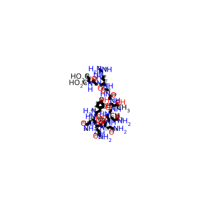 C[C@H](NC(=O)[C@H](CCC(N)=O)NC(=O)[C@H](CCC(N)=O)NC(=O)[C@H](CCC(N)=O)NC(=O)[C@H](CCC(N)=O)NC(=O)[C@@H](N)Cc1ccc(O)cc1)C(=O)N[C@H](C(=O)NCC(=O)NCC(=O)N[C@@H](CCCNC(=N)N)C(=O)NCC(=O)N[C@@H](CC(=O)O)C(=O)O)[C@@H](C)O